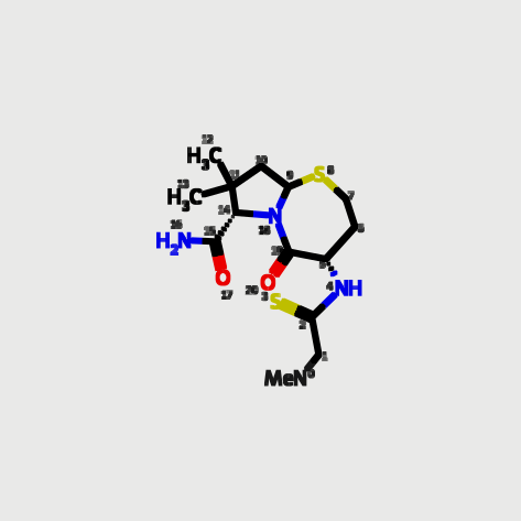 CNCC(=S)N[C@H]1CCSC2CC(C)(C)[C@@H](C(N)=O)N2C1=O